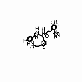 Cc1ccc(-n2cnnn2)c(/C=C/C(=O)NC2Cc3ccc(F)c(n3)CCC(=O)Nc3cc(F)ccc3-c3c[nH]c2n3)c1